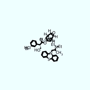 CCCC[N+]1(C)[C@@H]2C[C@@H](OC(=O)[C@H](CO)c3ccccc3)C[C@H]1[C@@H]1O[C@@H]12.CCN(CC)C(C)CN1c2ccccc2Sc2ccccc21.Cl.[Br-]